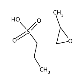 CC1CO1.CCCS(=O)(=O)O